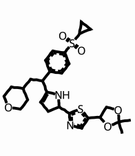 CC1(C)OCC(c2cnc(C3CC=C(C(CC4CCOCC4)c4ccc(S(=O)(=O)C5CC5)cc4)N3)s2)O1